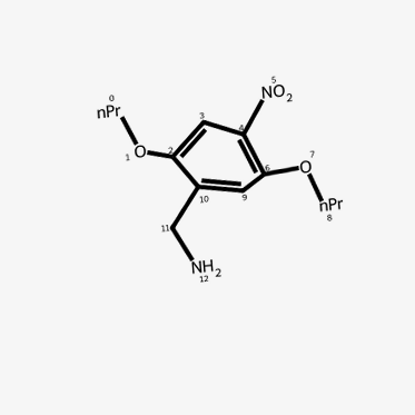 CCCOc1cc([N+](=O)[O-])c(OCCC)cc1CN